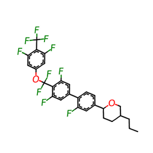 CCCC1CCC(c2ccc(-c3cc(F)c(C(F)(F)Oc4cc(F)c(C(F)(F)F)c(F)c4)c(F)c3)c(F)c2)OC1